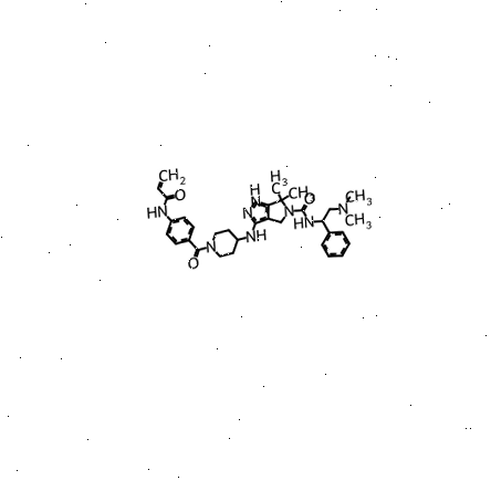 C=CC(=O)Nc1ccc(C(=O)N2CCC(Nc3n[nH]c4c3CN(C(=O)NC(CN(C)C)c3ccccc3)C4(C)C)CC2)cc1